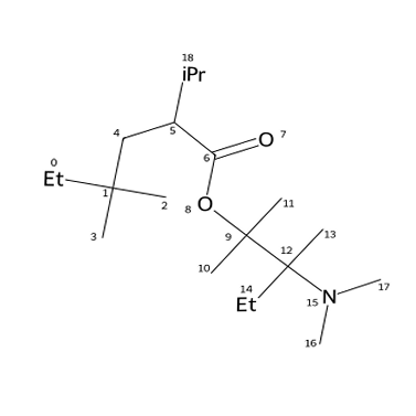 CCC(C)(C)CC(C(=O)OC(C)(C)C(C)(CC)N(C)C)C(C)C